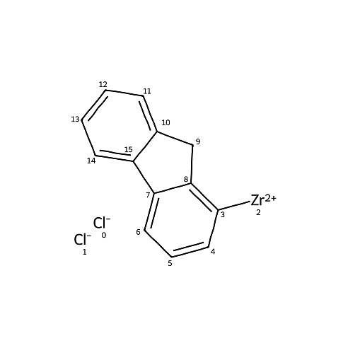 [Cl-].[Cl-].[Zr+2][c]1cccc2c1Cc1ccccc1-2